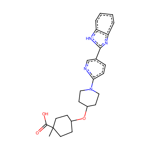 CC1(C(=O)O)CCC(OC2CCN(c3ccc(-c4nc5ccccc5[nH]4)cn3)CC2)CC1